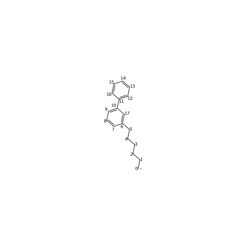 [CH2]CCCCCc1cccc(-c2ccccc2)c1